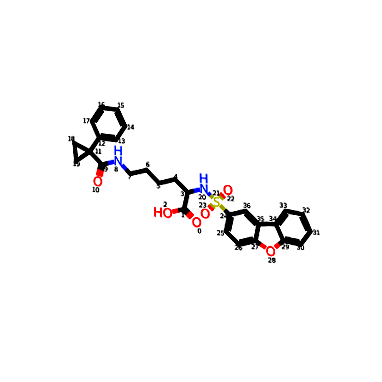 O=C(O)C(CCCCNC(=O)C1(c2ccccc2)CC1)NS(=O)(=O)c1ccc2oc3ccccc3c2c1